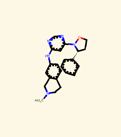 O=C(O)N1CCc2ccc(Nc3cc(N4OCC[C@@H]4c4ccccc4)ncn3)cc2C1